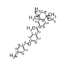 CC(=Cc1ccc(OCc2ccc(C)cc2)cc1)c1ccc2c(c1)C(C)(C)CCC2(C)C